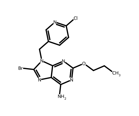 CCCOc1nc(N)c2nc(Br)n(Cc3ccc(Cl)nc3)c2n1